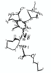 CCCCOC(=O)N[C@H]1CCCC[C@H]1Nc1nc(C2C=NN(C)C2)c2c(c1C)CNC2=O